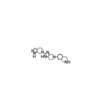 c1cc2c(cc1N1CCc3[nH]c(N4CCc5cn[nH]c5C4)nc3C1)CNCC2